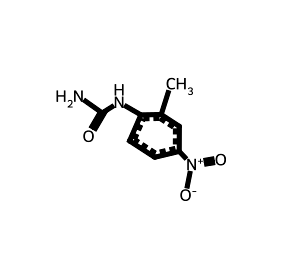 Cc1cc([N+](=O)[O-])ccc1NC(N)=O